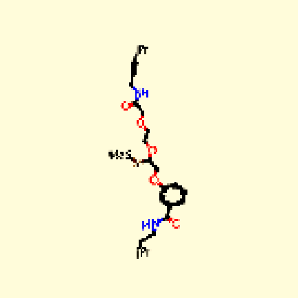 CSSC(COc1cccc(C(=O)NCCC(C)C)c1)OCCOCC(=O)NCC#CC(C)C